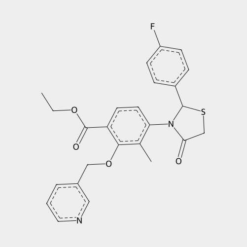 CCOC(=O)c1ccc(N2C(=O)CSC2c2ccc(F)cc2)c(C)c1OCc1cccnc1